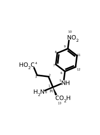 N[C@](CCC(=O)O)(Nc1ccc([N+](=O)[O-])cc1)C(=O)O